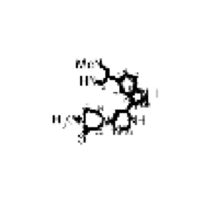 CN/C=C(\C=N)c1ccc2[nH]nc(C3C=C(N4CCN(C)C(=O)C4)N=CN3)c2c1